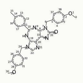 COc1ccc(Cn2c3nc(-c4ccc(C)cc4)nc4c(ncn4Cc4ccc(OC)cc4)c-3nc2=O)cc1